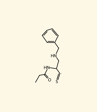 CCC(=O)NC([C]=S)CNCc1ccccc1